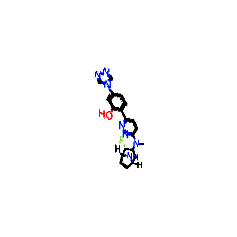 CN(c1ccc(-c2ccc(-n3cnnc3)cc2O)nn1)[C@H]1C[C@@H]2C=C[C@@H](N2)[C@H]1F